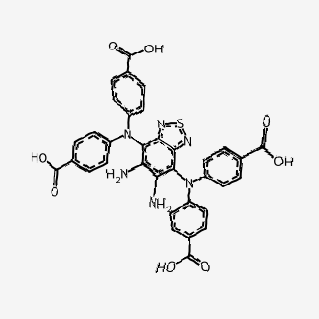 Nc1c(N)c(N(c2ccc(C(=O)O)cc2)c2ccc(C(=O)O)cc2)c2nsnc2c1N(c1ccc(C(=O)O)cc1)c1ccc(C(=O)O)cc1